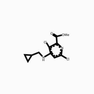 COC(=O)c1nc(Cl)cc(NCC2CC2)c1Cl